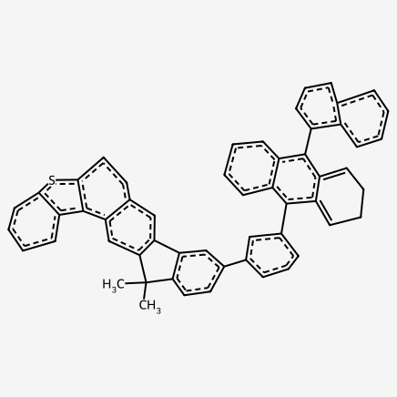 CC1(C)c2ccc(-c3cccc(-c4c5c(c(-c6cccc7ccccc67)c6ccccc46)=CCCC=5)c3)cc2-c2cc3ccc4sc5ccccc5c4c3cc21